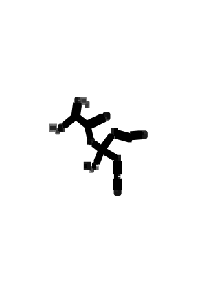 C=C(C)C(=O)OC(C)(N=C=O)N=C=O